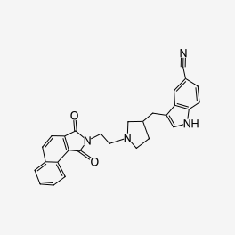 N#Cc1ccc2[nH]cc(CC3CCN(CCN4C(=O)c5ccc6ccccc6c5C4=O)C3)c2c1